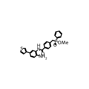 COP(=O)(Cc1ccc(C(=O)Nc2cc(-c3ccsc3)ccc2N)cc1)c1ccccc1